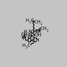 C=C(C)CCCCCC(NCC(F)CC)C(C(N)N)C(O)NC1CN=CC(CCCC)C1N1CCC(CN2CCC(F)(F)C2)CC1